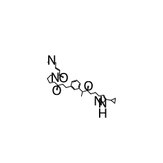 CC(C(=O)CCc1cc(C2CC2)[nH]n1)c1cccc(CCC(=O)C2CCCN2C(=O)/C=C/CN(C)C)c1